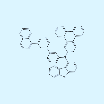 c1cc(-c2cccc(N(c3ccc4c5ccccc5c5ccccc5c4c3)c3cccc4sc5ccccc5c34)c2)cc(-c2cccc3ccccc23)c1